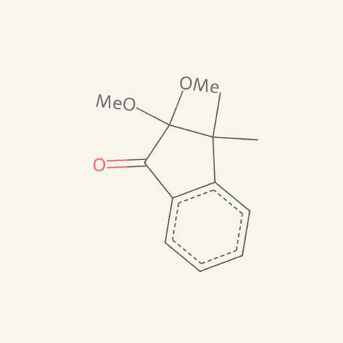 COC1(OC)C(=O)c2ccccc2C1(C)C